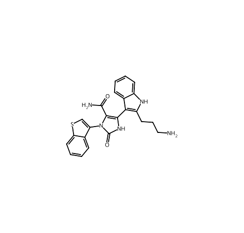 NCCCc1[nH]c2ccccc2c1-c1[nH]c(=O)n(-c2csc3ccccc23)c1C(N)=O